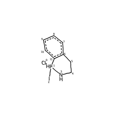 Cl[PH]1(I)NCCc2ccccc21